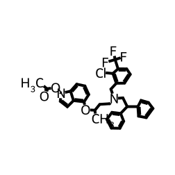 CC(=O)On1ccc2c(OC(C)CCN(Cc3cccc(C(F)(F)F)c3Cl)CC(c3ccccc3)c3ccccc3)cccc21